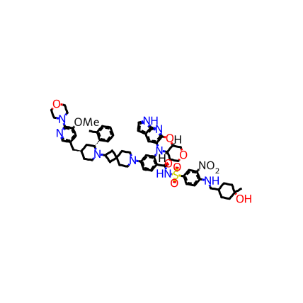 COc1cc(C[C@@H]2CCN(C3CC4(CCN(c5ccc(C(=O)NS(=O)(=O)c6ccc(NCC7CCC(C)(O)CC7)c([N+](=O)[O-])c6)c(N6c7cc8cc[nH]c8nc7O[C@H]7COCC[C@@H]76)c5)CC4)C3)[C@@H](c3ccccc3C)C2)cnc1N1CCOCC1